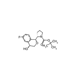 CC(C)(C)OC(=O)N1CCC[C@H]1[C@H]1OC[C@@H](O)c2cc(F)ccc21